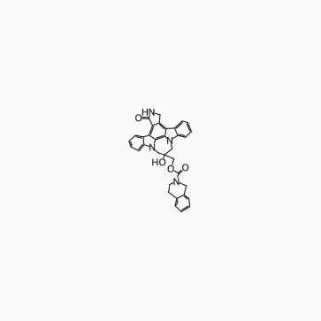 O=C1NCc2c1c1c3ccccc3n3c1c1c2c2ccccc2n1CC(O)(COC(=O)N1CCc2ccccc2C1)C3